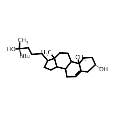 CCCC[C@](C)(O)CCCC1CCC2C3CC=C4C[C@@H](O)CCC4(C)C3CCC12C